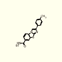 CCNC(=O)c1ccc2c(c1)sc1nc(-c3ccc(C)cc3)cn12